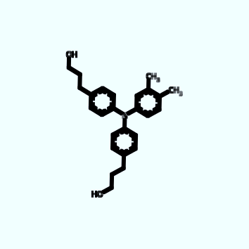 Cc1ccc(N(c2ccc(CCCO)cc2)c2ccc(CCCO)cc2)cc1C